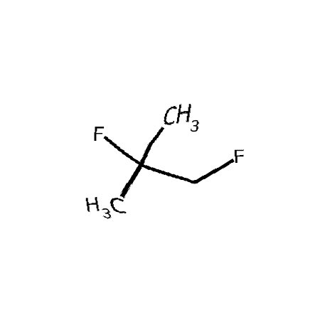 CC(C)(F)CF